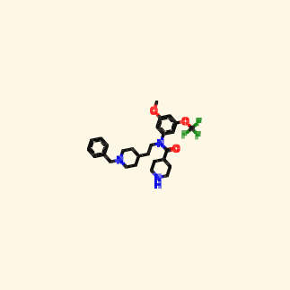 COc1cc(OC(F)(F)F)cc(N(CCC2CCN(Cc3ccccc3)CC2)C(=O)C2CCNCC2)c1